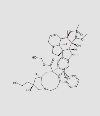 CC[C@]12C=CCN3CC[C@@]4(c5cc([C@@]6(C(=O)OCO)C[C@H]7CN(CCc8c6[nH]c6ccccc86)C[C@](O)(CCO)C7)c(OC)cc5N(C)[C@H]4[C@@](O)(C(=O)OC)[C@@H]1OC(C)=O)[C@@H]32